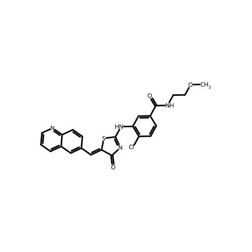 COCCNC(=O)c1ccc(Cl)c(NC2=NC(=O)/C(=C/c3ccc4ncccc4c3)S2)c1